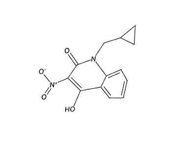 O=c1c([N+](=O)[O-])c(O)c2ccccc2n1CC1CC1